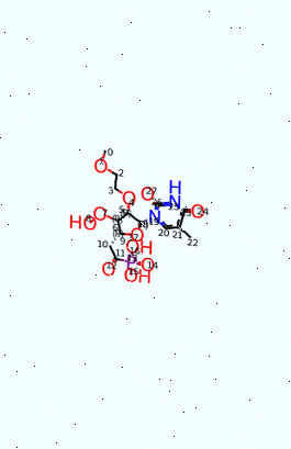 COCCO[C@@H]1[C@H](OO)[C@@H](CC(=O)P(=O)(O)O)O[C@H]1n1cc(C)c(=O)[nH]c1=O